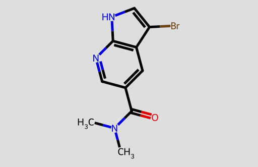 CN(C)C(=O)c1cnc2[nH]cc(Br)c2c1